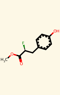 COC(=O)[C@@H](F)Cc1ccc(O)cc1